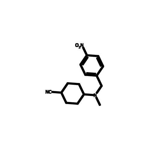 CN(Cc1ccc([N+](=O)[O-])cc1)C1CCC(C#N)CC1